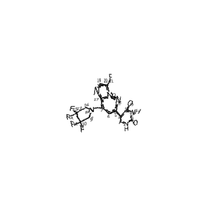 O=c1[nH]cc(-c2cc(N3CC(F)(F)C(F)(F)C3)c3ncc(F)n3n2)c(=O)[nH]1